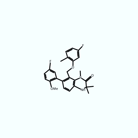 COc1ccc(F)cc1-c1ccc2c(c1COc1cc(F)ccc1C)N(C)C(=O)C(C)(C)N2